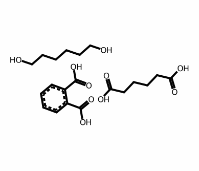 O=C(O)CCCCC(=O)O.O=C(O)c1ccccc1C(=O)O.OCCCCCCO